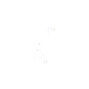 [CH2-][NH+]1CCC(c2cccc(NC(C)=O)c2)CC1